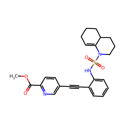 COC(=O)c1ccc(C#Cc2ccccc2NS(=O)(=O)N2CCCC3CCCC=C32)cn1